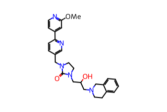 COc1cc(-c2ccc(CN3CCN(CC(O)CN4CCc5ccccc5C4)C3=O)cn2)ccn1